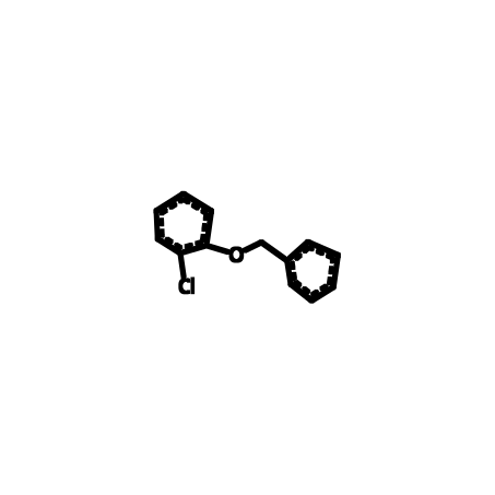 Clc1ccccc1OCc1ccccc1